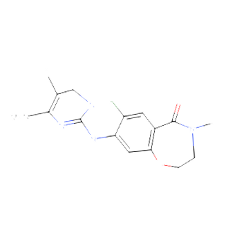 CNC1=C(C(F)(F)F)CNC(Nc2cc3c(cc2Cl)C(=O)N(C)CCO3)=N1